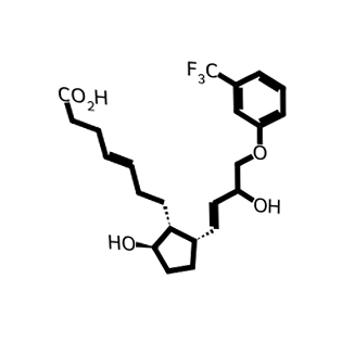 O=C(O)CCC=CCC[C@H]1[C@H](O)CC[C@H]1C=CC(O)COc1cccc(C(F)(F)F)c1